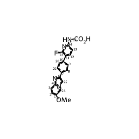 COc1ccc2nc(-c3ccc(-c4ccc(NC(=O)O)nc4F)cc3)cn2c1